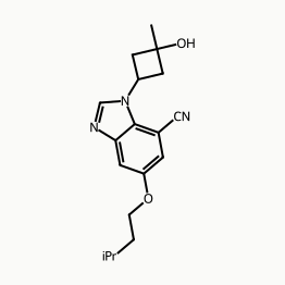 CC(C)CCOc1cc(C#N)c2c(c1)ncn2C1CC(C)(O)C1